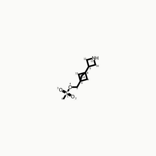 CS(=O)(=O)OCC12CC(C3CNC3)(C1)C2